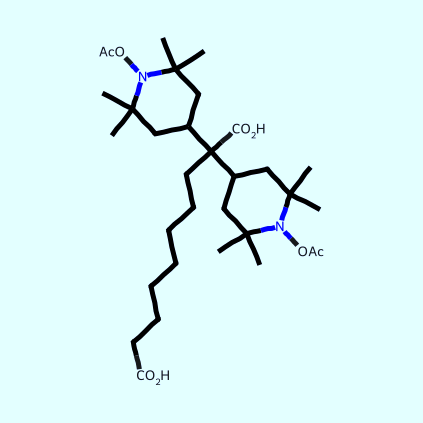 CC(=O)ON1C(C)(C)CC(C(CCCCCCCC(=O)O)(C(=O)O)C2CC(C)(C)N(OC(C)=O)C(C)(C)C2)CC1(C)C